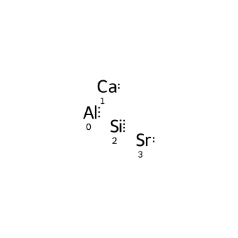 [Al].[Ca].[Si].[Sr]